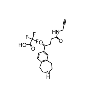 C#CCNC(=O)CCC(=O)c1ccc2c(c1)CCNCC2.O=C(O)C(F)(F)F